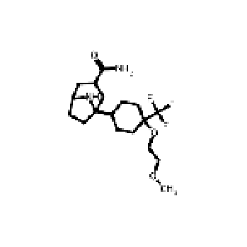 COCCOC1(C(F)(F)F)CCC(C23CCC(CC(C(N)=O)C2)N3)CC1